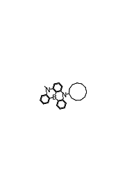 CN1c2ccccc2B2c3ccccc3N(C3CCCCCCCCCC3)c3cccc1c32